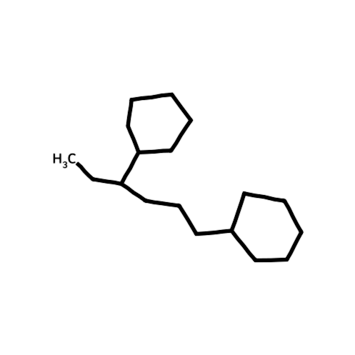 CCC(CCCC1CCCCC1)C1CCCCC1